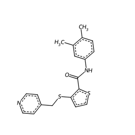 Cc1ccc(NC(=O)c2sccc2SCc2ccncc2)cc1C